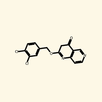 O=C1CC(OCc2ccc(Cl)c(Cl)c2)=Nc2ccncc21